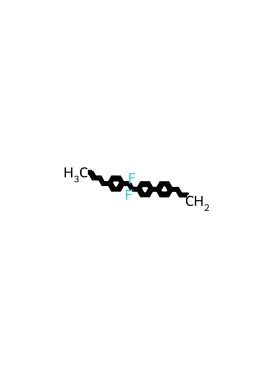 C=CCCc1ccc(-c2ccc(C(F)C(F)c3ccc(CC/C=C/C)cc3)cc2)cc1